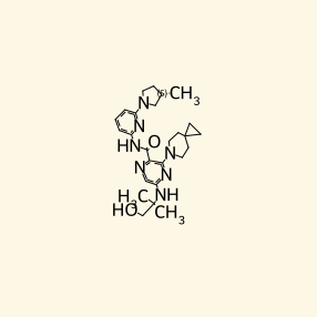 C[C@H]1CCN(c2cccc(NC(=O)c3ncc(NC(C)(C)CO)nc3N3CCC4(CC3)CC4)n2)C1